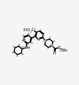 CCOC(=O)c1ccc(N2CCN(C(=O)OC(C)(C)C)CC2)nc1-c1ccnc(NC2CCCCC2)c1